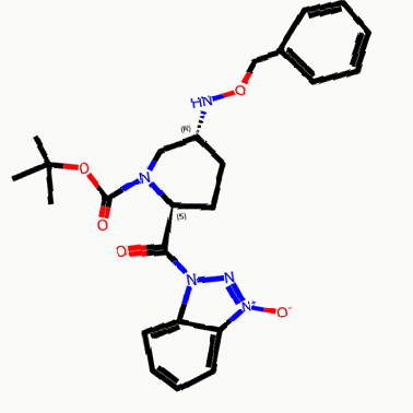 CC(C)(C)OC(=O)N1C[C@H](NOCc2ccccc2)CC[C@H]1C(=O)n1n[n+]([O-])c2ccccc21